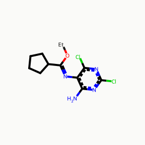 CCOC(=Nc1c(N)nc(Cl)nc1Cl)C1CCCC1